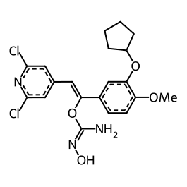 COc1ccc(C(=Cc2cc(Cl)nc(Cl)c2)OC(N)=NO)cc1OC1CCCC1